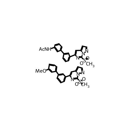 CC(=O)Nc1cccc(-c2cccc(-c3cc4ccnn4c(S(C)(=O)=O)n3)c2)c1.COc1cccc(-c2cccc(-c3cc4ccnn4c(S(C)(=O)=O)n3)c2)c1